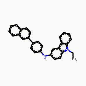 CCn1c2ccccc2c2cc(Nc3ccc(-c4ccc5ccccc5c4)cc3)ccc21